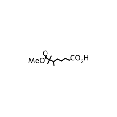 COC(=O)C(C)(C)C(C)CCCCC(=O)O